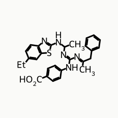 CCc1ccc2nc(NC(C)/N=C(\N=C(/C)Cc3ccccc3)Nc3ccc(C(=O)O)cc3)sc2c1